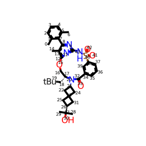 Cc1cccc(C)c1-c1nc2nc(c1C)OC[C@@H](CC(C)(C)C)N([C@H]1CC3(C1)C[C@H](C(C)(C)O)C3)C(=O)c1cccc(c1)S(=O)(=O)N2